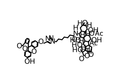 CC(=O)O[C@H]1[C@H]2[C@@H]([C@@H](O)[C@@H](NC(=O)CCCCCCn3cc(COc4ccc5c(c4)Oc4cc(O)ccc4C54OC(=O)c5ccccc54)nn3)C3C[C@@H]4O[C@@H]4[C@H](O)[C@@]32C)[C@@H]2[C@@H](O)[C@@H]3[C@H]([C@H](C)[C@H]4O[C@]45OC(=O)[C@@](C)(O)[C@]35C)[C@@]2(C(C)=O)[C@H]1O